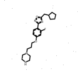 Fc1cc(OCCCN2CCNCC2)ccc1-c1noc(CC2CCCC2)n1